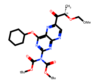 COCO[C@@H](C)C(=O)c1cnc2nc(N(C(=O)OC(C)(C)C)C(=O)OC(C)(C)C)nc(OC3CCCCC3)c2n1